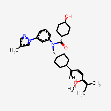 C=C(/C=C\C(OC)=C(C)C)[C@H]1CC[C@H](CN(c2cccc(-n3cc(C)cn3)c2)C(=O)[C@H]2CC[C@H](O)CC2)CC1